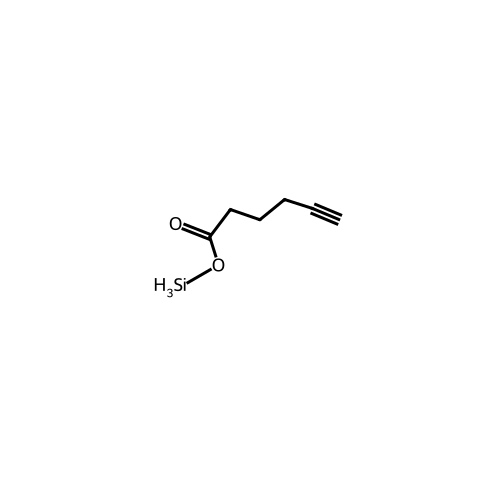 C#CCCCC(=O)O[SiH3]